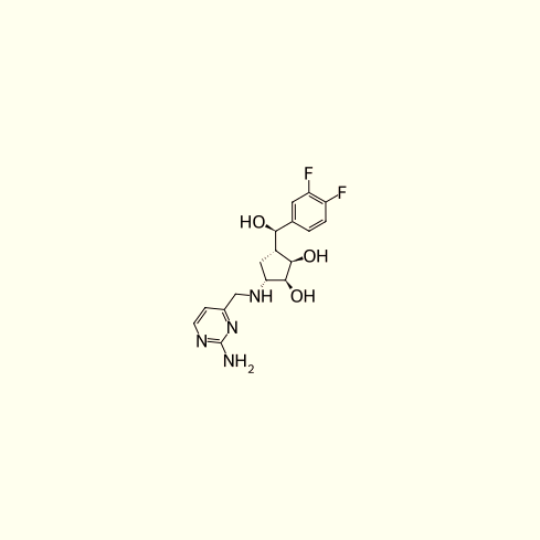 Nc1nccc(CN[C@@H]2C[C@H]([C@@H](O)c3ccc(F)c(F)c3)[C@@H](O)[C@H]2O)n1